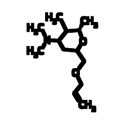 C=CCOCC1CC(N(C)C)C(C)[C@H](C)O1